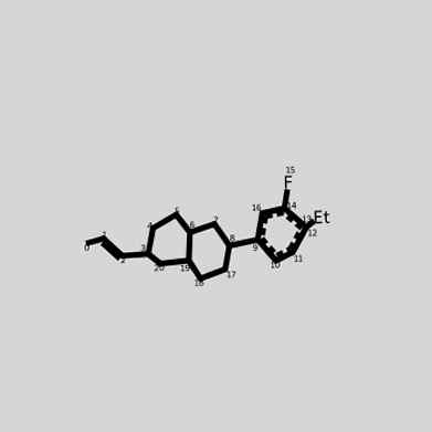 C/C=C/C1CCC2CC(c3ccc(CC)c(F)c3)CCC2C1